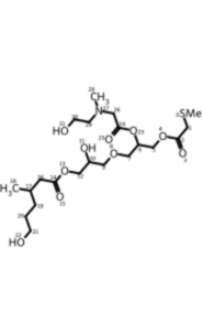 CSCC(=O)OCC(COCC(O)COC(=O)CC(C)CCCO)OC(=O)CN(C)CCO